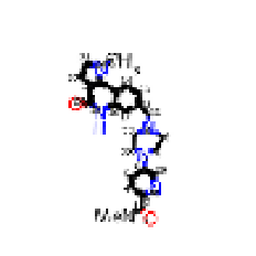 CNC(=O)c1ccc(N2CCN(Cc3ccc4c(c3)[nH]c(=O)c3ccn(C)c34)CC2)cn1